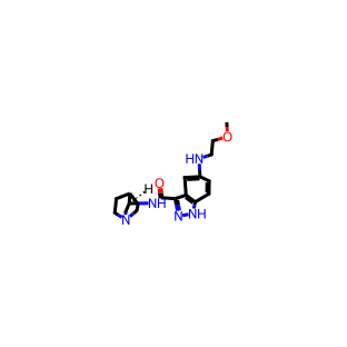 COCCNc1ccc2[nH]nc(C(=O)N[C@H]3CN4CCC3CC4)c2c1